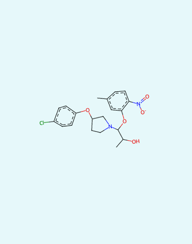 Cc1ccc([N+](=O)[O-])c(OC(C(C)O)N2CCC(Oc3ccc(Cl)cc3)C2)c1